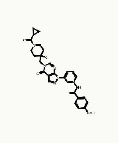 CNc1ccc(C(=O)Nc2cccc(-n3ncc4c(=O)n(CC5(O)CCN(C(=O)C6CC6)CC5)cnc43)c2)cc1